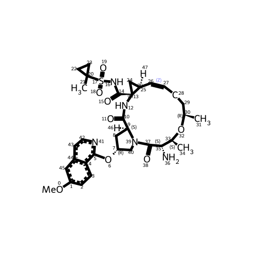 COc1ccc2c(O[C@@H]3C[C@H]4C(=O)N[C@]5(C(=O)NS(=O)(=O)C6(C)CC6)C[C@H]5/C=C\CC[C@@H](C)O[C@@H](C)[C@H](N)C(=O)N4C3)nccc2c1